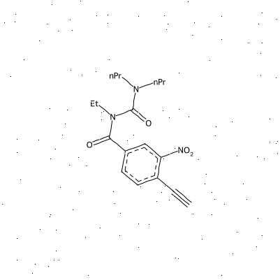 C#Cc1ccc(C(=O)N(CC)C(=O)N(CCC)CCC)cc1[N+](=O)[O-]